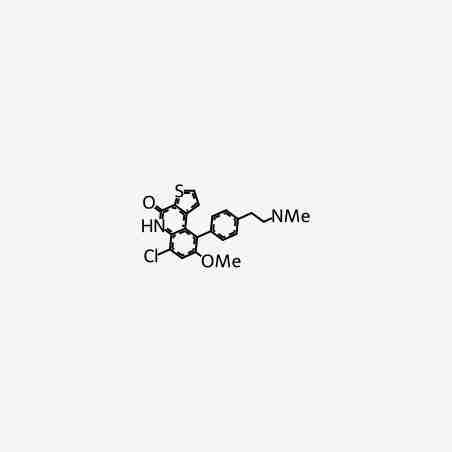 CNCCc1ccc(-c2c(OC)cc(Cl)c3[nH]c(=O)c4sccc4c23)cc1